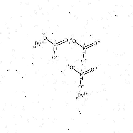 O=[PH]([O-])[O-].O=[PH]([O-])[O-].O=[PH]([O-])[O-].[Dy+3].[Dy+3]